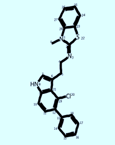 Cn1c(=NCCc2c[nH]c3ccc(-c4ccccc4)c(Cl)c23)sc2ccccc21